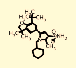 CC1C(S(N)(=O)=O)C=C(c2cc(C(C)(C)C)c3c(c2)C(C)(C)CO3)N1CC1CCCCC1